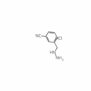 Cl.N#Cc1cccc(CNN)c1